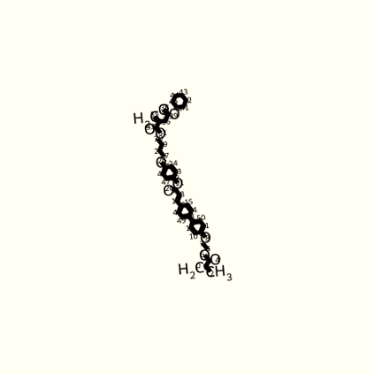 C=C(C)C(=O)OCCOc1ccc(-c2ccc(/C=C/C(=O)Oc3ccc(OCCCCOC(=O)C(=C)CC(=O)OC4CCCCC4)cc3)cc2)cc1